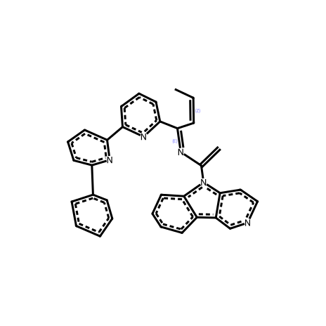 C=C(/N=C(\C=C/C)c1cccc(-c2cccc(-c3ccccc3)n2)n1)n1c2ccccc2c2cnccc21